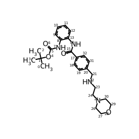 CC(C)(C)OC(=O)Nc1ccccc1NC(=O)c1ccc(CNCCN2CCOCC2)cc1